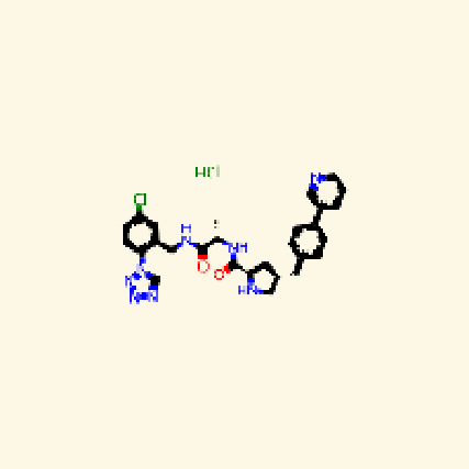 C[C@H](NC(=O)[C@H]1C[C@H](Cc2ccc(-c3cccnc3)cc2)CN1)C(=O)NCc1cc(Cl)ccc1-n1cnnn1.Cl